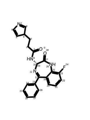 O=C(CCC1C=CN=C1)N[C@H]1N=C(c2ccccc2)c2cccc(F)c2NC1=O